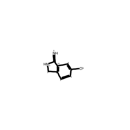 N=C1NCc2ccc(Cl)cc21